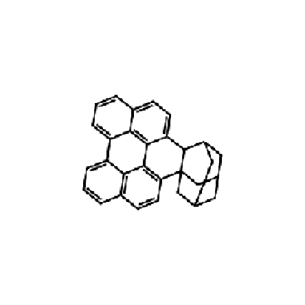 c1cc2ccc3c4c5c(ccc6cccc(c(c1)c24)c65)C12CC4CC(CC(C4)C31)C2